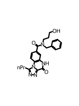 CCCc1nnc2c(=O)[nH]c3cc(C(=O)N(CCCO)Cc4ccccc4)ccc3n12